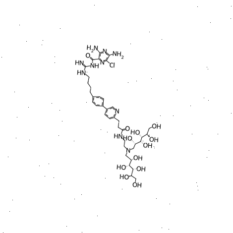 N=C(NCCCCc1ccc(-c2ccc(CCC(=O)NCCN(C[C@H](O)[C@@H](O)[C@H](O)[C@H](O)CO)C[C@H](O)[C@@H](O)[C@H](O)[C@H](O)CO)nc2)cc1)NC(=O)c1nc(Cl)c(N)nc1N